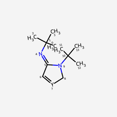 CC(C)(C)/N=C1/[CH]=[Y][CH2]N1C(C)(C)C